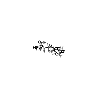 CC(C)(C)OC(=O)N(CCC(=O)NCCCNc1cc(C(N)=O)cc2c1cnn2PI)Cc1ccc(-c2ccccc2)c(Cl)c1